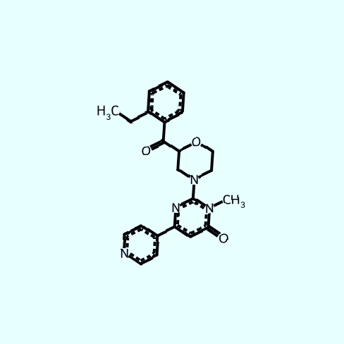 CCc1ccccc1C(=O)C1CN(c2nc(-c3ccncc3)cc(=O)n2C)CCO1